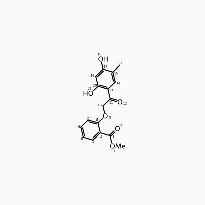 COC(=O)c1ccccc1OCC(=O)c1cc(C)c(O)cc1O